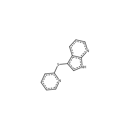 c1ccc(Sc2c[nH]c3ncccc23)nc1